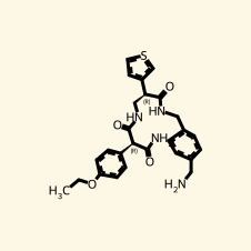 CCOc1ccc([C@H](C(N)=O)C(=O)NC[C@H](C(=O)NCc2ccc(CN)cc2)c2ccsc2)cc1